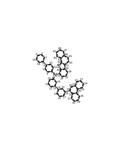 c1ccc(-c2ccc(N(c3cccc(-c4cccc(-c5cc6ccccc6c6ccccc56)c4)c3)c3cccc4c3sc3c5ccccc5ccc43)cc2)cc1